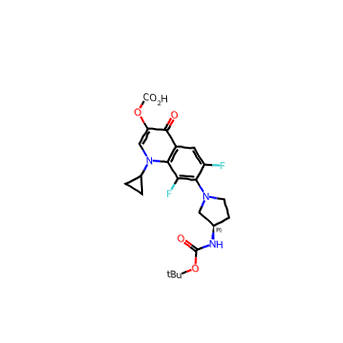 CC(C)(C)OC(=O)N[C@@H]1CCN(c2c(F)cc3c(=O)c(OC(=O)O)cn(C4CC4)c3c2F)C1